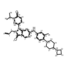 C=CCn1c(=O)c2cnc(Nc3ccc(N4CCC(N5CCC5)CC4)c(C)c3)nc2n1-c1ccc(=O)n(C(C)C)n1